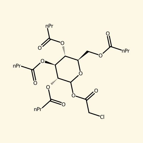 CCCC(=O)OC[C@H]1OC(OC(=O)CCl)[C@H](OC(=O)CCC)[C@@H](OC(=O)CCC)[C@@H]1OC(=O)CCC